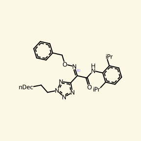 CCCCCCCCCCCCn1nnc(/C(=N\OCc2ccccc2)C(=O)Nc2c(C(C)C)cccc2C(C)C)n1